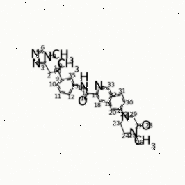 C[C@H](Cc1nncn1C)c1cccc(NC(=O)c2cc3cc(N4CCN(C)C(=O)C4)ccc3cn2)c1